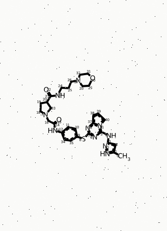 Cc1cc(Nc2nc(Sc3ccc(NC(=O)CN4CCC(C(=O)NCCCN5CCOCC5)C4)cc3)nc3cccn23)n[nH]1